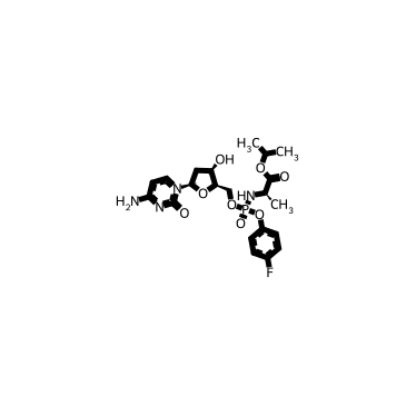 CC(C)OC(=O)[C@H](C)NP(=O)(OC[C@H]1O[C@@H](n2ccc(N)nc2=O)C[C@H]1O)Oc1ccc(F)cc1